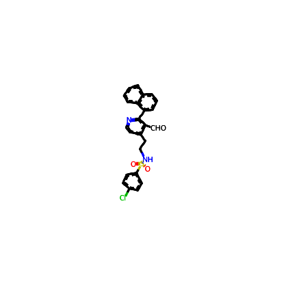 O=Cc1c(CCNS(=O)(=O)c2ccc(Cl)cc2)ccnc1-c1cccc2ccccc12